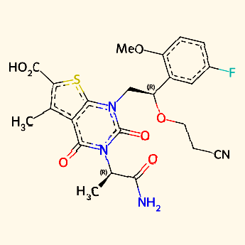 COc1ccc(F)cc1[C@H](Cn1c(=O)n([C@H](C)C(N)=O)c(=O)c2c(C)c(C(=O)O)sc21)OCCC#N